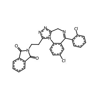 O=C1c2ccccc2C(=O)N1CCc1nnc2n1-c1ccc(Cl)cc1C(c1ccccc1Cl)=NC2